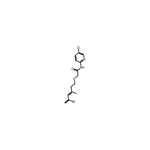 C=C(Br)/C=C(\C)CCOCC(=O)Nc1ccc(Cl)cn1